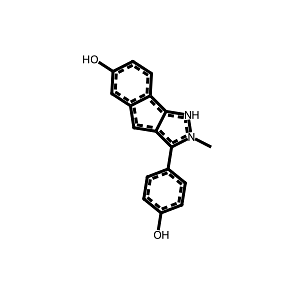 Cn1[nH]c2c3ccc(O)cc3cc-2c1-c1ccc(O)cc1